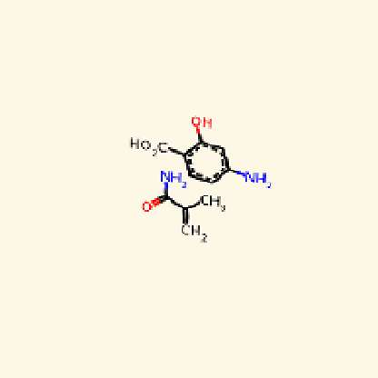 C=C(C)C(N)=O.Nc1ccc(C(=O)O)c(O)c1